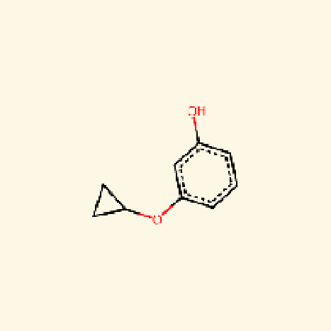 Oc1cccc(OC2CC2)c1